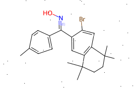 Cc1ccc(/C(=N\O)c2cc3c(cc2Br)C(C)(C)CCC3(C)C)cc1